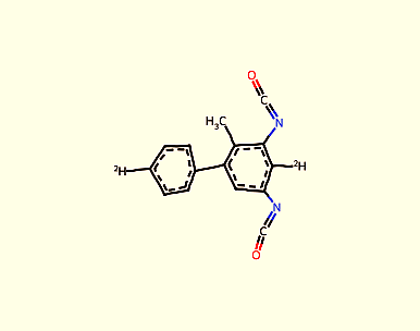 [2H]c1ccc(-c2cc(N=C=O)c([2H])c(N=C=O)c2C)cc1